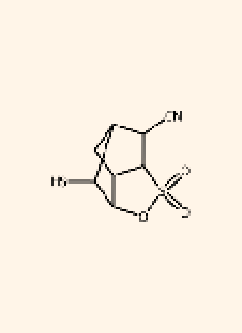 N#CC1C2CC3C(OS(=O)(=O)C13)C2S